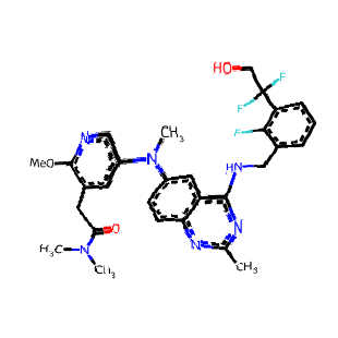 COc1ncc(N(C)c2ccc3nc(C)nc(NCc4cccc(C(F)(F)CO)c4F)c3c2)cc1CC(=O)N(C)C